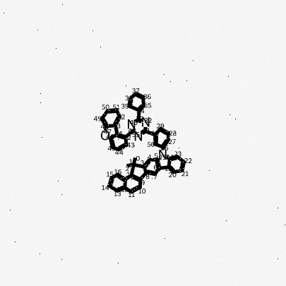 CC1(C)c2cc3c(cc2-c2ccc4ccccc4c21)c1ccccc1n3-c1cccc(-c2nc(-c3ccccc3)nc(-c3cccc4oc5ccccc5c34)n2)c1